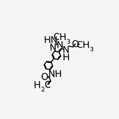 C=CC(=O)Nc1cccc(-c2ccc3c(NCCOC)nc(NC)nc3c2)c1